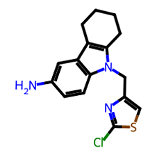 Nc1ccc2c(c1)c1c(n2Cc2csc(Cl)n2)CCCC1